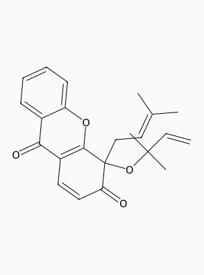 C=CC(C)(C)OC1(CC=C(C)C)C(=O)C=Cc2c1oc1ccccc1c2=O